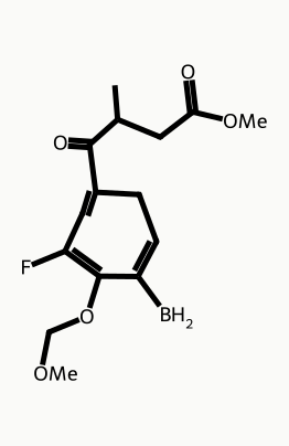 BC1=CCC(C(=O)C(C)CC(=O)OC)=CC(F)=C1OCOC